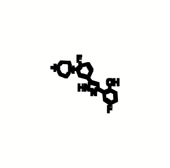 CN1CCN(c2cc(-c3cc(-c4cc(F)ccc4O)n[nH]3)ccc2F)CC1